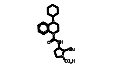 CC(C)(C)C1C(NC(=O)N2CCN(C3CCCCC3)c3ccccc32)CCN1C(=O)O